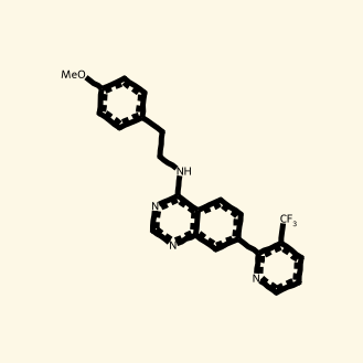 COc1ccc(CCNc2ncnc3cc(-c4ncccc4C(F)(F)F)ccc23)cc1